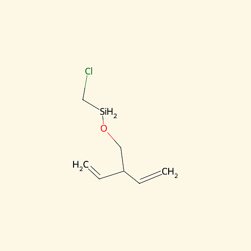 C=CC(C=C)CO[SiH2]CCl